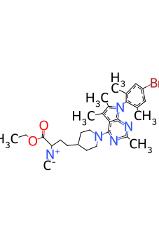 [C-]#[N+]C(CCC1CCN(c2nc(C)nc3c2c(C)c(C)n3-c2c(C)cc(Br)cc2C)CC1)C(=O)OCC